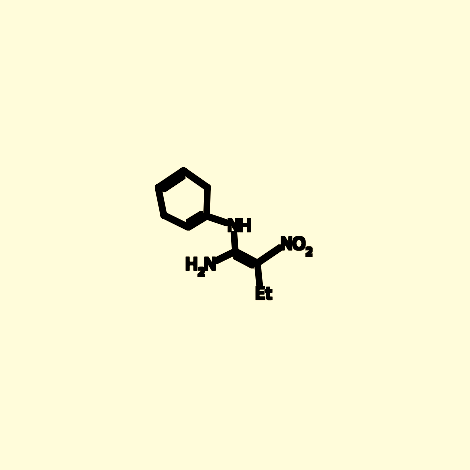 CCC(=C(N)NC1=CCC=CC1)[N+](=O)[O-]